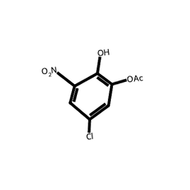 CC(=O)Oc1cc(Cl)cc([N+](=O)[O-])c1O